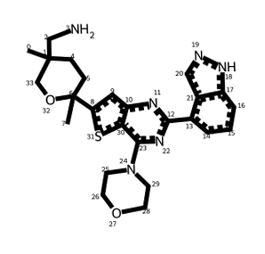 CC1(CN)CCC(C)(c2cc3nc(-c4cccc5[nH]ncc45)nc(N4CCOCC4)c3s2)OC1